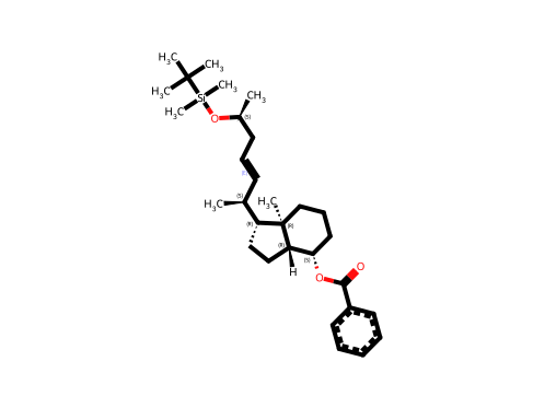 C[C@@H](C/C=C/[C@H](C)[C@H]1CC[C@H]2[C@@H](OC(=O)c3ccccc3)CCC[C@]12C)O[Si](C)(C)C(C)(C)C